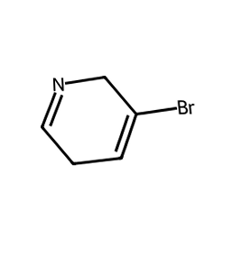 BrC1=CCC=NC1